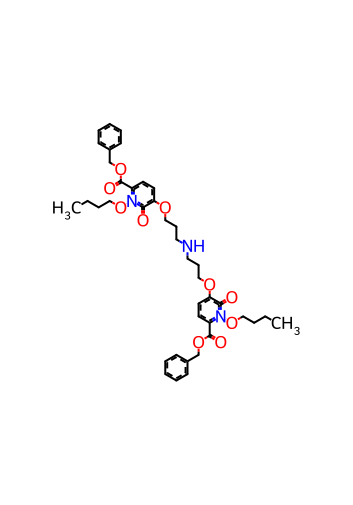 CCCCOn1c(C(=O)OCc2ccccc2)ccc(OCCCNCCCOc2ccc(C(=O)OCc3ccccc3)n(OCCCC)c2=O)c1=O